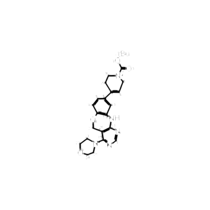 CC(C)(C)OC(=O)N1CC=C(c2ccc3c(c2)Nc2ncnc(N4CCOCC4)c2CO3)CC1